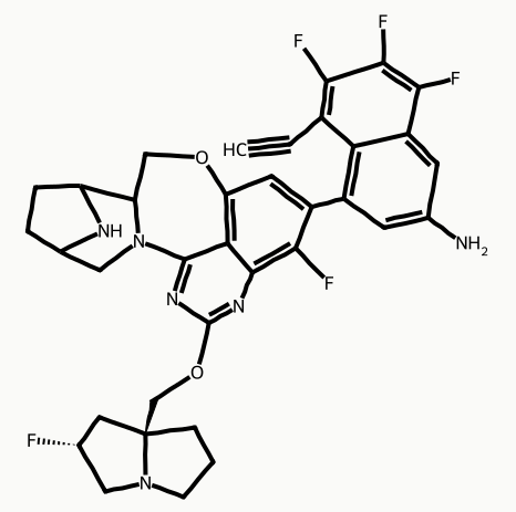 C#Cc1c(F)c(F)c(F)c2cc(N)cc(-c3cc4c5c(nc(OC[C@@]67CCCN6C[C@H](F)C7)nc5c3F)N3CC5CCC(N5)C3CO4)c12